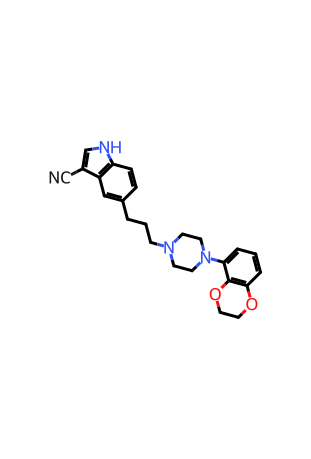 N#Cc1c[nH]c2ccc(CCCN3CCN(c4cccc5c4OCCO5)CC3)cc12